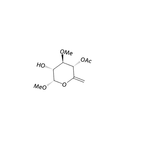 C=C1O[C@H](OC)[C@H](O)[C@@H](OC)[C@@H]1OC(C)=O